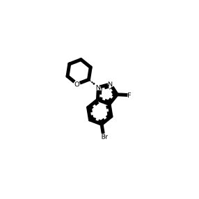 Fc1nn([C@H]2CCCCO2)c2ccc(Br)cc12